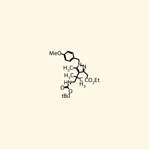 CCOC(=O)Cc1nn(Cc2ccc(OC)cc2)c(C)c1C(C)(C)CNC(=O)OC(C)(C)C